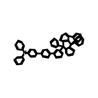 c1ccc(N(c2ccccc2)c2ccc(-c3ccc(-c4cccc(C5(c6ccccc6)c6ccccc6C6(c7ccccc7)c7ccccc7-c7cccc5c76)c4)cc3)cc2)cc1